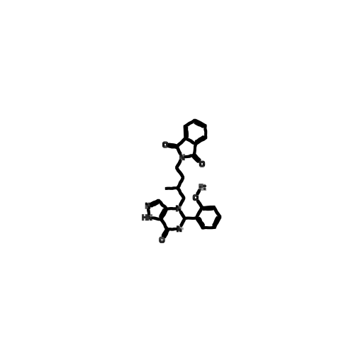 CCOc1ccccc1C1[N]C(=O)c2[nH]ncc2N1CC(C)CCN1C(=O)c2ccccc2C1=O